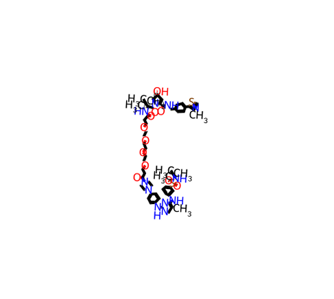 Cc1cnc(Nc2ccc(N3CCN(C(=O)CCOCCOCCOCCOCCC(=O)N[C@H](C(=O)N4C[C@H](O)C[C@H]4C(=O)NCc4ccc(-c5scnc5C)cc4)C(C)(C)C)CC3)cc2)nc1Nc1cccc(S(=O)(=O)NC(C)(C)C)c1